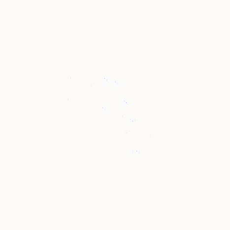 N[C@H]1CCCC12CCN(c1cnc3c(-c4cccc(Cl)c4Cl)n[nH]c3n1)CC2